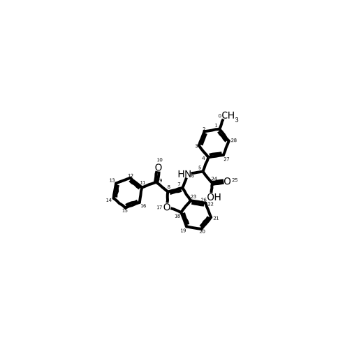 Cc1ccc(C(Nc2c(C(=O)c3ccccc3)oc3ccccc23)C(=O)O)cc1